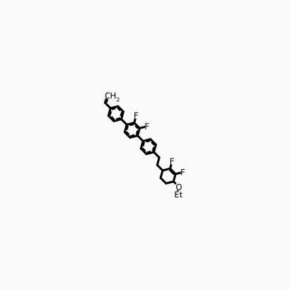 C=Cc1ccc(-c2ccc(-c3ccc(CCC4CCC(OCC)C(F)=C4F)cc3)c(F)c2F)cc1